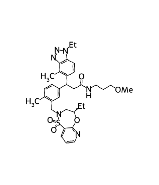 CC[C@@H]1CN(Cc2cc(C(CC(=O)NCCCOC)c3ccc4c(nnn4CC)c3C)ccc2C)S(=O)(=O)c2cccnc2O1